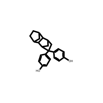 Oc1ccc(C2(c3ccc(O)cc3)CC3CC2C2C4CCC(C4)C32)cc1